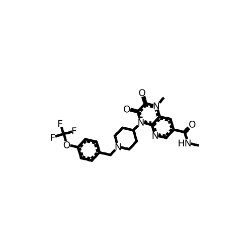 CNC(=O)c1cnc2c(c1)n(C)c(=O)c(=O)n2C1CCN(Cc2ccc(OC(F)(F)F)cc2)CC1